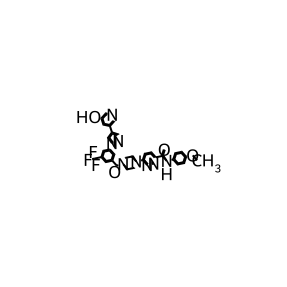 COc1ccc(NC(=O)c2ccc(N3CCN(C(=O)c4cc(-n5cc(-c6cncc(O)c6)cn5)cc(C(F)(F)F)c4)CC3)nn2)cc1